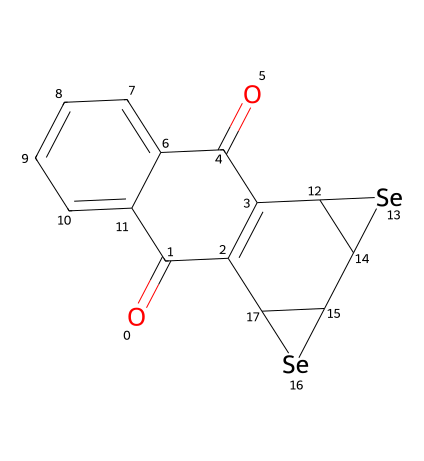 O=C1C2=C(C(=O)c3ccccc31)C1[Se]C1C1[Se]C21